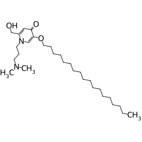 CCCCCCCCCCCCCCCCCCOc1cn(CCCN(C)C)c(CO)cc1=O